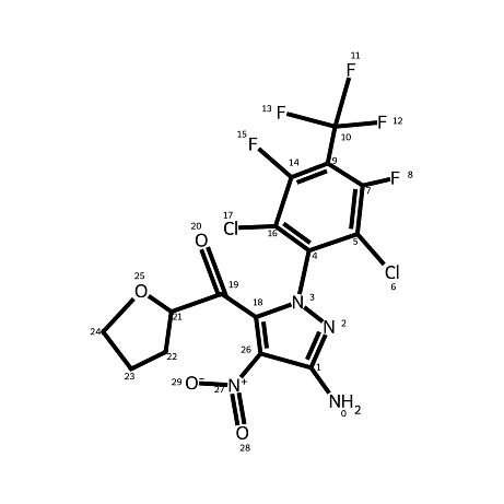 Nc1nn(-c2c(Cl)c(F)c(C(F)(F)F)c(F)c2Cl)c(C(=O)C2CCCO2)c1[N+](=O)[O-]